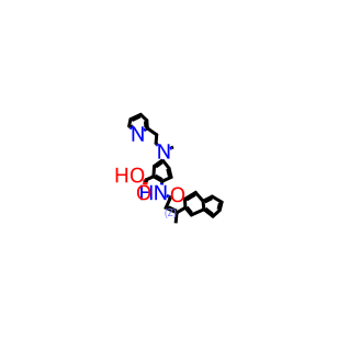 C/C(=C/C(=O)Nc1ccc(N(C)CCc2ccccn2)cc1C(=O)O)c1ccc2ccccc2c1